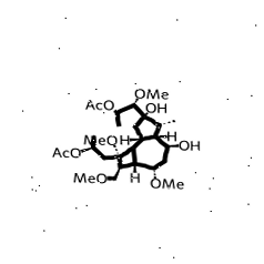 COC[C@@H]1[C@@H]2C([C@@H]3C[C@@](O)([C@@H](OC)[C@@H](C)OC(C)=O)[C@H](C)[C@@H]3[C@@H](O)C[C@@H]2OC)[C@@]1(C[C@H](C)OC(C)=O)OC